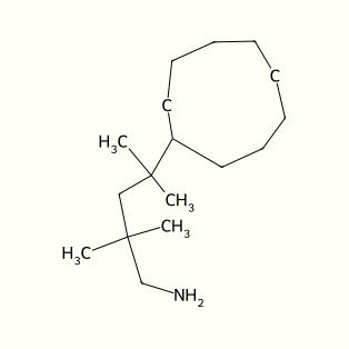 CC(C)(CN)CC(C)(C)C1CCCCCCCC1